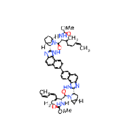 C=C(/C=C\C=C/C)[C@@H](NC(=O)OC)C(=O)N1[C@@H]2CC[C@@H](C2)[C@H]1c1nc2ccc3cc(-c4ccc5c(ccc6nc([C@@H]7C[C@H]8C[C@H]8N7C(=O)[C@H](NC(=O)OC)C(=C)/C=C\C=C/C)[nH]c65)c4)ccc3c2[nH]1